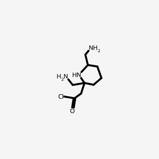 NCC1CCCC(CN)(CC(=O)Cl)N1